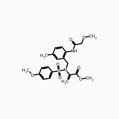 C=C(C(=O)OC)N(Cc1cc(C)ccc1NC(=O)COC)S(=O)(=O)c1ccc(OC)cc1